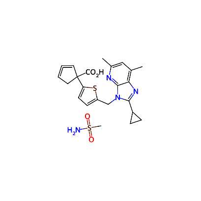 CS(N)(=O)=O.Cc1cc(C)c2nc(C3CC3)n(Cc3ccc(C4(C(=O)O)C=C=CC4)s3)c2n1